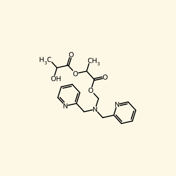 CC(O)C(=O)OC(C)C(=O)OCN(Cc1ccccn1)Cc1ccccn1